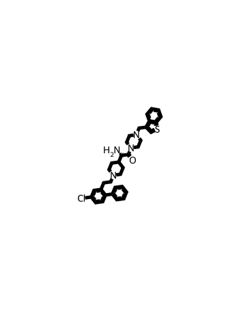 N[C@@H](C(=O)N1CCN(Cc2csc3ccccc23)CC1)C1CCN(CCc2cc(Cl)ccc2-c2ccccc2)CC1